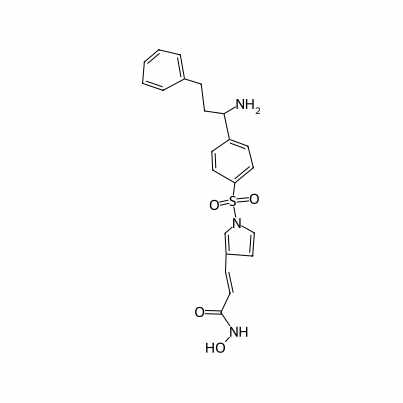 NC(CCc1ccccc1)c1ccc(S(=O)(=O)n2ccc(/C=C/C(=O)NO)c2)cc1